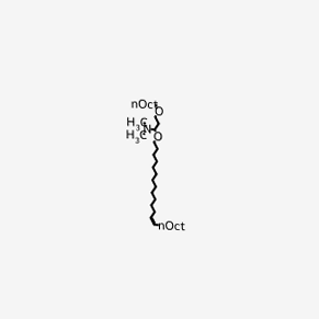 CCCCCCCC/C=C\CCCCCCCCCCCCOC(CCOCCCCCCCC)N(C)C